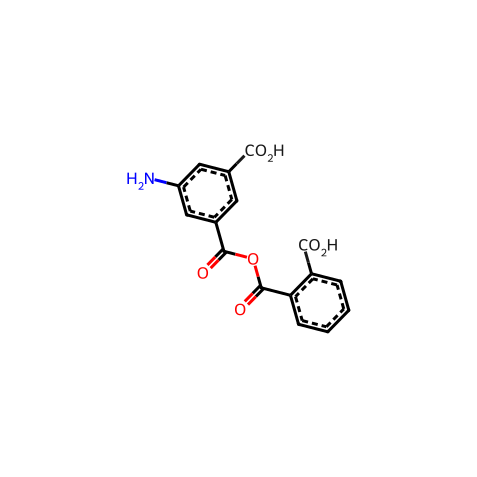 Nc1cc(C(=O)O)cc(C(=O)OC(=O)c2ccccc2C(=O)O)c1